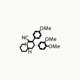 COc1ccc(C2=C(C#N)N3CCCC[C@H]3C[C@H]2c2ccc(OC)c(OC)c2)cc1